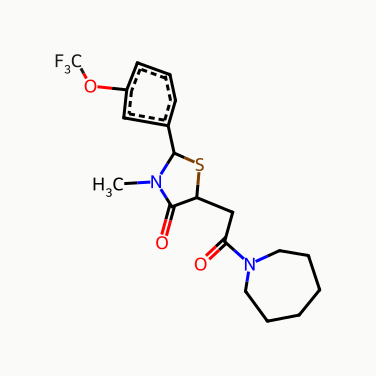 CN1C(=O)C(CC(=O)N2CCCCCC2)SC1c1cccc(OC(F)(F)F)c1